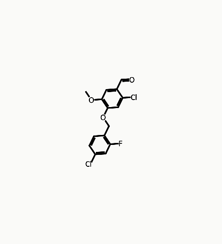 COc1cc(C=O)c(Cl)cc1OCc1ccc(Cl)cc1F